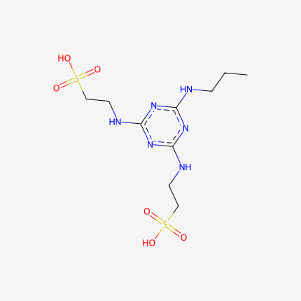 CCCNc1nc(NCCS(=O)(=O)O)nc(NCCS(=O)(=O)O)n1